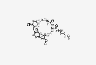 COCCCNCC(=O)N1CCOc2cc3c(ncnc3cc2OC)Nc2cc(Cl)ccc2CCCNC(=O)C1